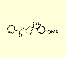 COc1ccc(C(C)(C)CCOC(=O)c2ccccc2)cc1